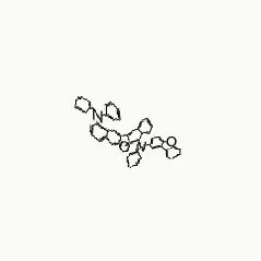 c1ccc(N(c2ccccc2)c2cccc3cc4oc5c(N(c6ccccc6)c6ccc7oc8ccccc8c7c6)c6ccccc6cc5c4cc23)cc1